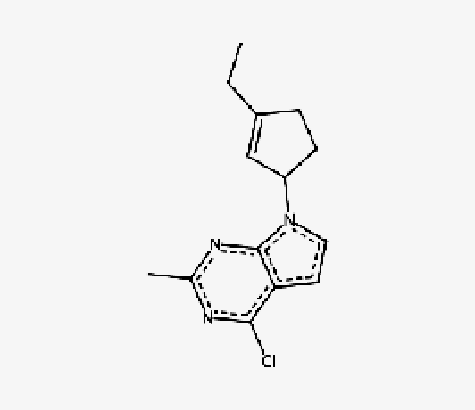 CCC1=CC(n2ccc3c(Cl)nc(C)nc32)CC1